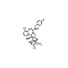 C=C(C)C[C@@H]1CN(C(=O)NCc2ccc(F)cc2)[C@H](c2cccc(Cl)c2F)[C@@]1(C#N)c1ccc(Cl)cc1F